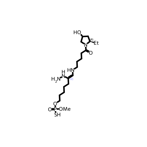 CC[C@@H]1CC(O)CN1C(=O)CCCCN/C=C(/CCCCCOP(=O)(S)OC)NN